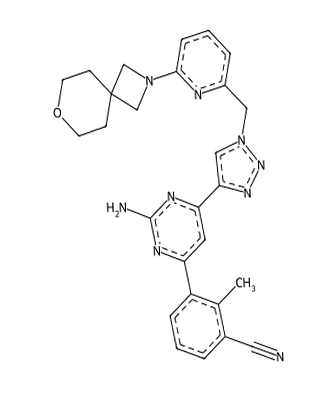 Cc1c(C#N)cccc1-c1cc(-c2cn(Cc3cccc(N4CC5(CCOCC5)C4)n3)nn2)nc(N)n1